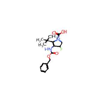 CC(C)(C)C1C(NC(=O)OCc2ccccc2)C(F)CN1C(=O)O